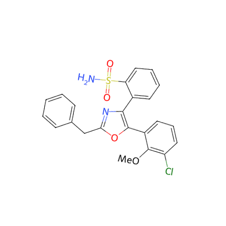 COc1c(Cl)cccc1-c1oc(Cc2ccccc2)nc1-c1ccccc1S(N)(=O)=O